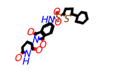 O=C1CCC(N2C(=O)c3ccc(NS(=O)(=O)C4CCC(C5CCCCC5)S4)cc3C2=O)C(=O)N1